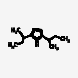 CCC(C)c1ccc(C(C)CC)[nH]1